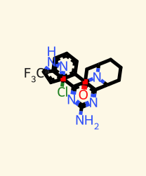 Nc1nc(-c2cc[nH]n2)c2c(n1)C1CCCC(C2)N1C(=O)c1cccc(C(F)(F)F)c1Cl